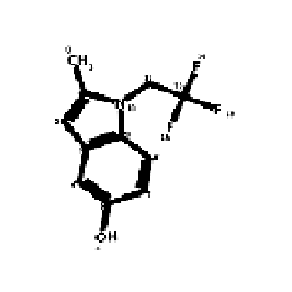 Cc1cc2cc(O)ccc2n1CC(F)(F)F